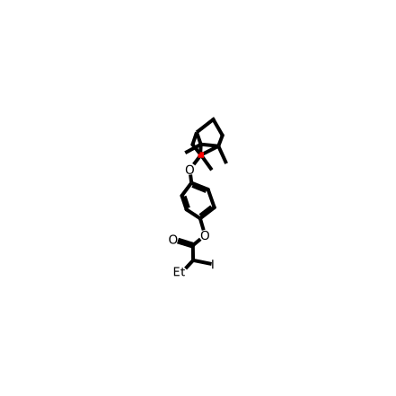 CCC(I)C(=O)Oc1ccc(OC2(C)CC3CCC2(C)C3(C)C)cc1